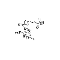 CCCc1nn(C)c2c(=O)[nH]c(-c3cc(CCCC(=O)NO)ccc3OCC)nc12